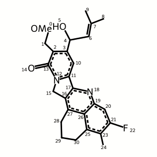 COCc1c(C(O)C=C(C)C)cc2n(c1=O)Cc1c-2nc2cc(F)c(C)c3c2c1CCC3